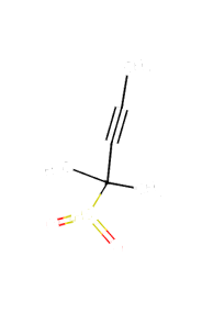 [CH2]C(C)(C#CC)[SH](=O)=O